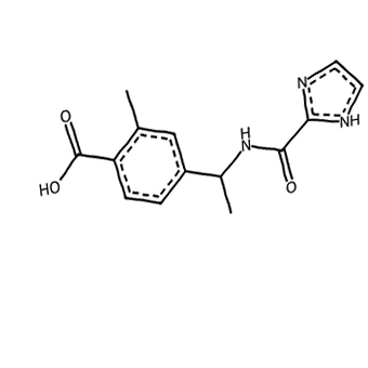 Cc1cc(C(C)NC(=O)c2ncc[nH]2)ccc1C(=O)O